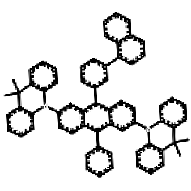 CC1(C)c2ccccc2N(c2ccc3c(-c4cccc(-c5cccc6ccccc56)c4)c4cc(N5c6ccccc6C(C)(C)c6ccccc65)ccc4c(-c4ccccc4)c3c2)c2ccccc21